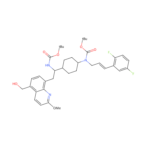 COc1ccc2c(CO)ccc(CC(NC(=O)OC(C)(C)C)C3CCC(N(CC=Cc4cc(F)ccc4F)C(=O)OC(C)(C)C)CC3)c2n1